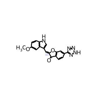 COc1ccc2[nH]cc(/C=C3\Oc4cc(-c5nn[nH]n5)ccc4C3=O)c2c1